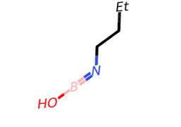 CCCC/N=B/O